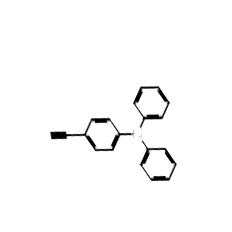 C#Cc1cc[c]([Bi]([c]2ccccc2)[c]2ccccc2)cc1